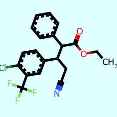 CCOC(=O)C(c1ccccc1)C(CC#N)c1ccc(Cl)c(C(F)(F)F)c1